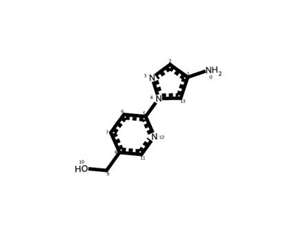 Nc1cnn(-c2ccc(CO)cn2)c1